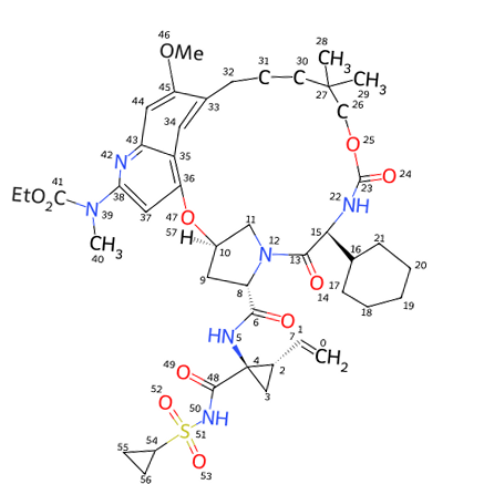 C=C[C@@H]1C[C@]1(NC(=O)[C@@H]1C[C@@H]2CN1C(=O)[C@H](C1CCCCC1)NC(=O)OCC(C)(C)CCCc1cc3c(cc(N(C)C(=O)OCC)nc3cc1OC)O2)C(=O)NS(=O)(=O)C1CC1